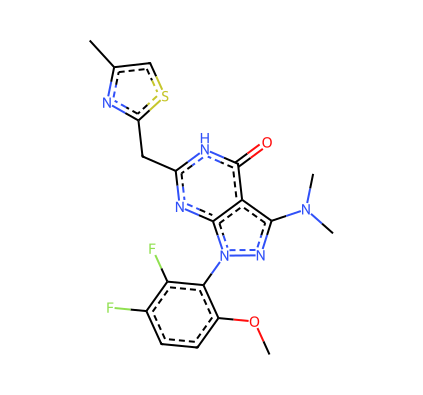 COc1ccc(F)c(F)c1-n1nc(N(C)C)c2c(=O)[nH]c(Cc3nc(C)cs3)nc21